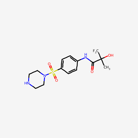 CC(O)(C(=O)Nc1ccc(S(=O)(=O)N2CCNCC2)cc1)C(F)(F)F